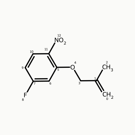 C=C(C)COc1cc(F)ccc1[N+](=O)[O-]